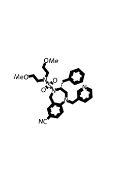 COCCN(CCOC)S(=O)(=O)N1Cc2cc(C#N)ccc2N(Cc2cccnc2)C[C@H]1Cc1ccccc1